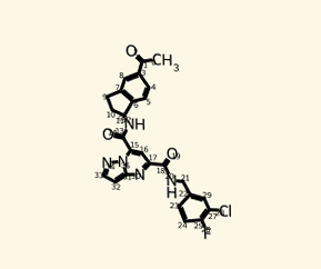 CC(=O)c1ccc2c(c1)CC[C@@H]2NC(=O)c1cc(C(=O)NCc2ccc(F)c(Cl)c2)nc2ccnn12